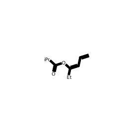 C=C/C=C(/CC)OC(=O)C(C)C